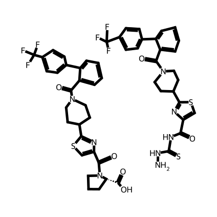 NNC(=S)NC(=O)c1csc(C2CCN(C(=O)c3ccccc3-c3ccc(C(F)(F)F)cc3)CC2)n1.O=C(O)[C@@H]1CCCN1C(=O)c1csc(C2CCN(C(=O)c3ccccc3-c3ccc(C(F)(F)F)cc3)CC2)n1